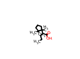 CCCC(C(=O)O)C1(C)CCCC1(C)C